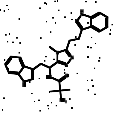 Cn1c(CCc2c[nH]c3ccccc23)nnc1C(Cc1c[nH]c2ccccc12)NC(=O)C(C)(C)N